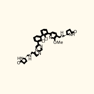 COc1nc(-c2cccc(-c3cccc(-c4cn5c(CNC[C@@H]6CCC(=O)N6)cnc5cn4)c3Cl)c2Cl)ccc1CNC[C@@H]1CCC(=O)N1